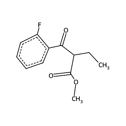 CCC(C(=O)OC)C(=O)c1ccccc1F